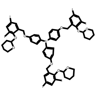 Ic1cc(I)c(OC2CCCCO2)c(COc2ccc([S+](c3ccc(OCc4cc(I)cc(I)c4OC4CCCCO4)cc3)c3ccc(OCc4cc(I)cc(I)c4OC4CCCCO4)cc3)cc2)c1